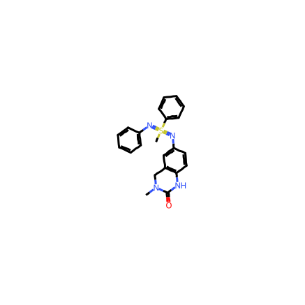 CN1Cc2cc(N=S(C)(=Nc3ccccc3)c3ccccc3)ccc2NC1=O